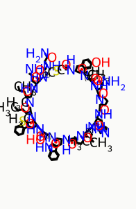 CCCCC1C(=O)N(C)C(CCCC)C(=O)NC(CCCN)C(=O)N[C@H](C(=O)NCC(N)=O)CSCC(=O)NC(Cc2ccc(O)cc2)C(=O)N(C)[C@@H](C)C(=O)NC(CC(N)=O)C(=O)N2CCCC2C(=O)NC(Cc2cnc[nH]2)C(=O)N[C@@H](CC(C)C)C(=O)N2CCCC2C(=O)NC(Cc2c[nH]c3ccccc23)C(=O)N[C@@H](CO)C(=O)NC(Cc2csc3ccccc23)C(=O)N1C